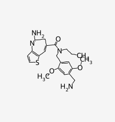 CCCN(Cc1cc(OC)c(CN)cc1OC)C(=O)C1=Cc2sccc2N=C(N)C1